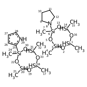 C[SiH]1O[SiH](C)O[Si](C)(N2CCCC2)O[SiH](C)O1.C[SiH]1O[SiH](C)O[Si](C)(c2ccc[nH]2)O[SiH](C)O1